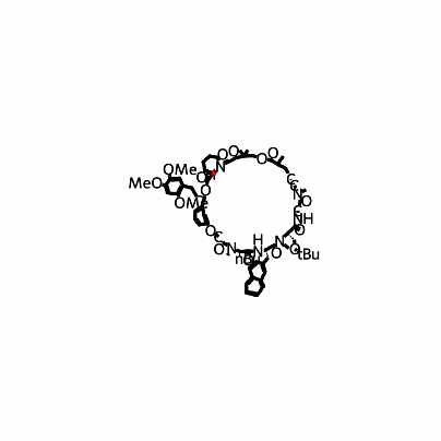 CCCC[C@H]1C(=O)N[C@@H](Cc2ccc3ccccc3c2)C(=O)N(C)[C@@H](COC(C)(C)C)C(=O)NCC(=O)N(C)CCCC(C)C(=O)OCC(C)(C)C(=O)C(=O)N2CCCC[C@H]2C(=O)O[C@H](CCc2cc(OC)c(OC)cc2OC)c2cccc(c2)OCC(=O)N1C